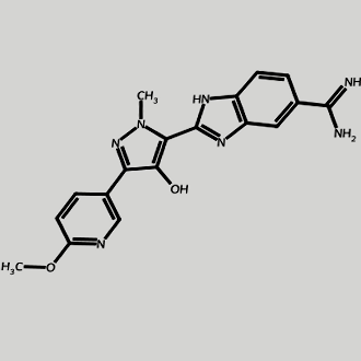 COc1ccc(-c2nn(C)c(-c3nc4cc(C(=N)N)ccc4[nH]3)c2O)cn1